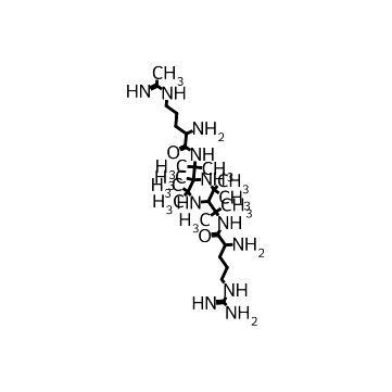 CC(=N)NCCCC(N)C(=O)NC(C)(C)C1(C)NC(C)(C)C(C(C)(C)NC(=O)C(N)CCCNC(=N)N)NC1(C)C